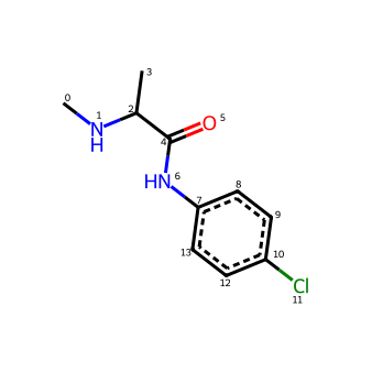 CNC(C)C(=O)Nc1ccc(Cl)cc1